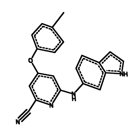 Cc1ccc(Oc2cc(C#N)nc(Nc3ccc4cc[nH]c4c3)c2)cc1